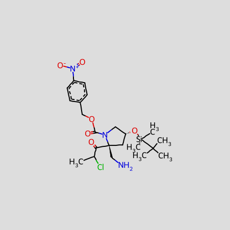 CC(Cl)C(=O)[C@@]1(CN)C[C@@H](O[Si](C)(C)C(C)(C)C)CN1C(=O)OCc1ccc([N+](=O)[O-])cc1